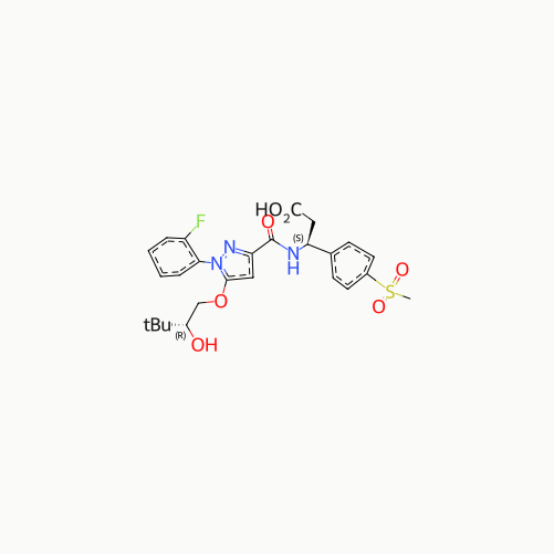 CC(C)(C)[C@@H](O)COc1cc(C(=O)N[C@@H](CC(=O)O)c2ccc(S(C)(=O)=O)cc2)nn1-c1ccccc1F